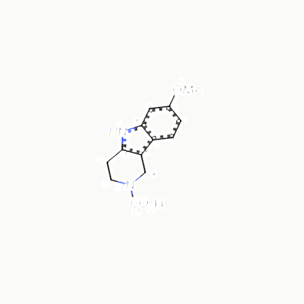 COc1ccc2c3c([nH]c2c1)CCN(C(=O)O)C3